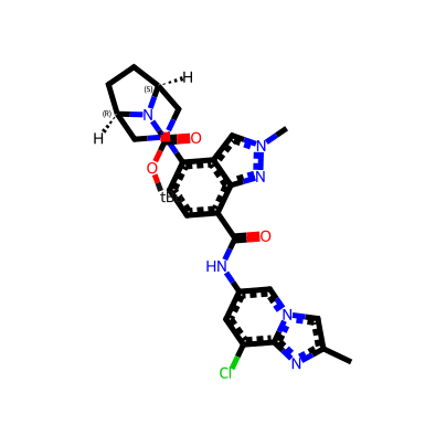 Cc1cn2cc(NC(=O)c3ccc(N4C[C@H]5CC[C@@H](C4)N5C(=O)OC(C)(C)C)c4cn(C)nc34)cc(Cl)c2n1